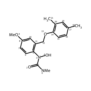 CNC(=O)N(O)c1ccc(OC)cc1COc1ccc(C)cc1C